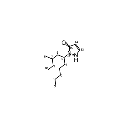 CCCCCC(CC(C)CC)n1[nH]ccc1=O